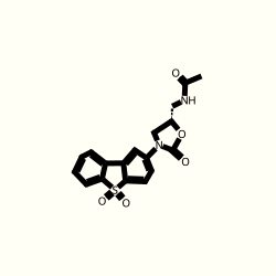 CC(=O)NC[C@H]1CN(c2ccc3c(c2)-c2ccccc2S3(=O)=O)C(=O)O1